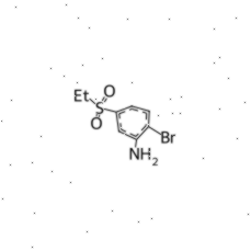 CCS(=O)(=O)c1ccc(Br)c(N)c1